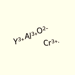 [Al+3].[Cr+3].[O-2].[Y+3]